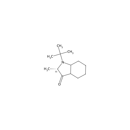 C[C@H]1C(=O)C2CCCCC2N1C(C)(C)C